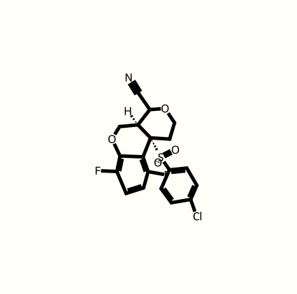 N#CC1OCC[C@@]2(S(=O)(=O)c3ccc(Cl)cc3)c3c(F)ccc(F)c3OC[C@@H]12